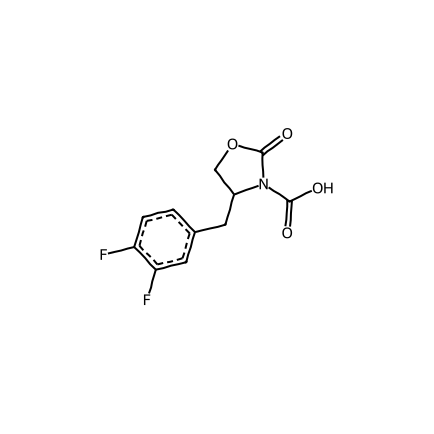 O=C(O)N1C(=O)OCC1Cc1ccc(F)c(F)c1